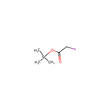 C[Si](C)(C)OC(=O)CI